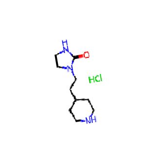 Cl.O=C1NCCN1CCC1CCNCC1